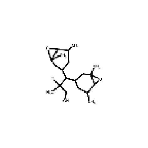 CC1CC(C(C2CC(C)C3OC3(C)C2)C(C)(O)CO)CC2(C)OC12